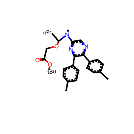 CCCC(OCC(=O)OC(C)(C)C)N(C)c1cnc(-c2ccc(C)cc2)c(-c2ccc(C)cc2)n1